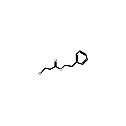 O=C(CCCl)OCCc1ccccc1